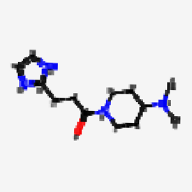 CCN(CC)C1CCN(C(=O)CCc2ncc[nH]2)CC1